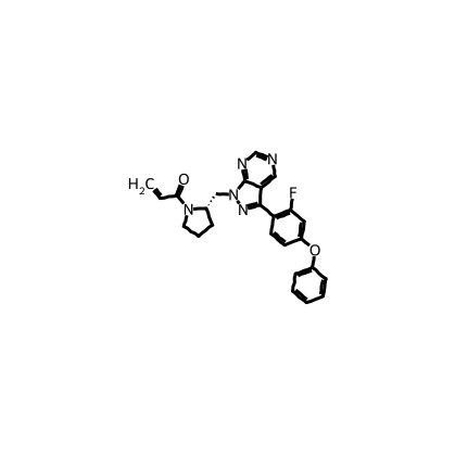 C=CC(=O)N1CCC[C@H]1Cn1nc(-c2ccc(Oc3ccccc3)cc2F)c2cncnc21